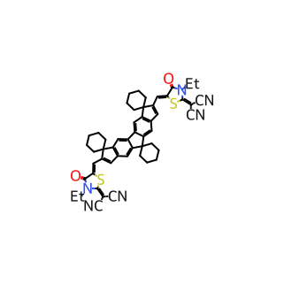 CCn1c(=C(C#N)C#N)s/c(=C\C2=Cc3cc4c(cc3C23CCCCC3)-c2cc3c(cc2C42CCCCC2)C=C(/C=c2\sc(=C(C#N)C#N)n(CC)c2=O)C32CCCCC2)c1=O